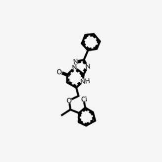 CC(OCc1cc(=O)n2nc(-c3ccccc3)nc2[nH]1)c1ccccc1Cl